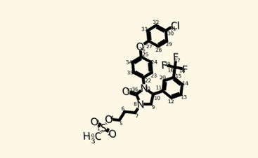 CS(=O)(=O)OCCCN1CC(c2cccc(C(F)(F)F)c2)N(c2ccc(Oc3ccc(Cl)cc3)cc2)C1=O